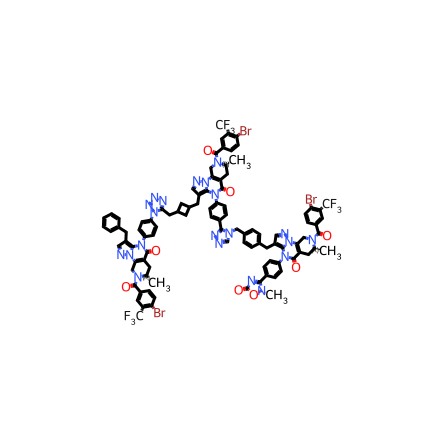 C[C@@H]1Cc2c(n3ncc(Cc4ccc(Cn5cnnc5-c5ccc(-n6c(=O)c7c(n8ncc(CC9CC(Cc%10nnnn%10-c%10ccc(-n%11c(=O)c%12c(n%13ncc(Cc%14ccccc%14)c%11%13)CN(C(=O)c%11ccc(Br)c(C(F)(F)F)c%11)[C@H](C)C%12)cc%10)C9)c68)CN(C(=O)c6ccc(Br)c(C(F)(F)F)c6)[C@H](C)C7)cc5)cc4)c3n(-c3ccc(-c4nc(=O)on4C)cc3)c2=O)CN1C(=O)c1ccc(Br)c(C(F)(F)F)c1